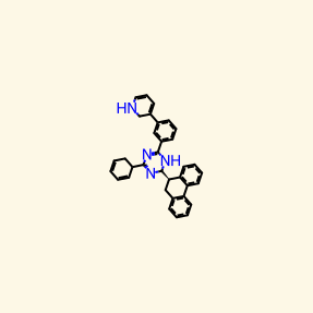 C1=CCC(C2=NC([C@@H]3Cc4ccccc4-c4ccccc43)NC(c3cccc(C4=CC=CNC4)c3)=N2)C=C1